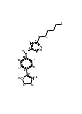 CCCCCCc1nc(Oc2ccc(C3=NCCO3)cc2)c[nH]1